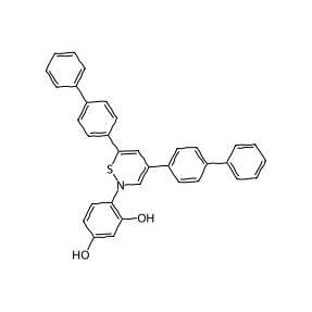 Oc1ccc(N2C=C(c3ccc(-c4ccccc4)cc3)C=C(c3ccc(-c4ccccc4)cc3)S2)c(O)c1